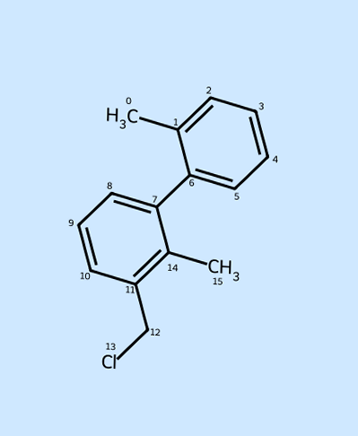 Cc1ccccc1-c1cccc(CCl)c1C